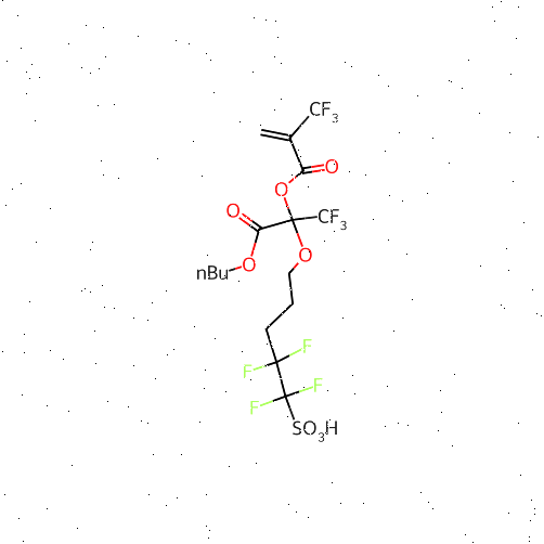 C=C(C(=O)OC(OCCCC(F)(F)C(F)(F)S(=O)(=O)O)(C(=O)OCCCC)C(F)(F)F)C(F)(F)F